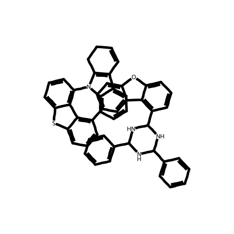 C1=Cc2c(n(-c3cccc4sc5cccc(-c6ccc7oc8cccc(C9NC(c%10ccccc%10)NC(c%10ccccc%10)N9)c8c7c6)c5c34)c3ccccc23)CC1